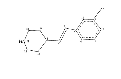 Cc1cccc(/C=C/C2CCNCC2)c1